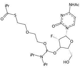 CC(=O)Nc1ccn([C@@H]2O[C@H](CO)C(OP(OCCOCCSC(=O)C(C)C)N(C(C)C)C(C)C)[C@@H]2F)c(=O)n1